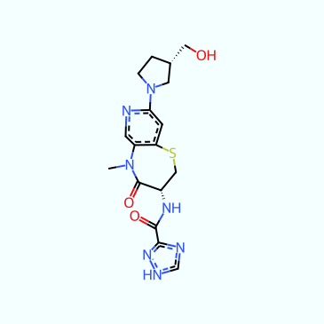 CN1C(=O)[C@@H](NC(=O)c2nc[nH]n2)CSc2cc(N3CC[C@H](CO)C3)ncc21